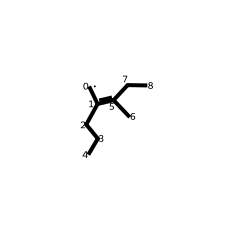 [CH2]C(CCC)=C(C)CC